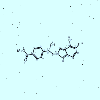 COC(=O)c1ccc([C@H](O)Cn2cc3c(Br)c(F)ccc3n2)cc1